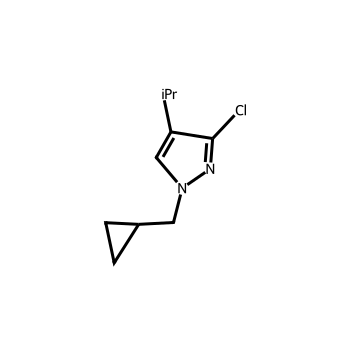 CC(C)c1cn(CC2CC2)nc1Cl